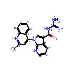 Cc1cc(-n2cc(C(=O)NC(=N)N)c3cccnc32)c2ccccc2n1